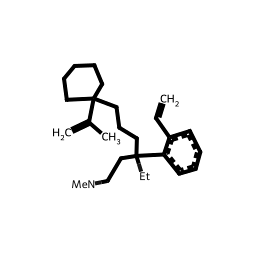 C=Cc1ccccc1C(CC)(CCCC1(C(=C)C)CCCCC1)CCNC